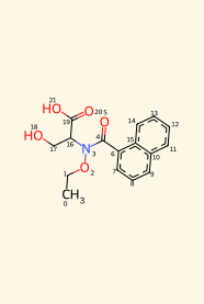 CCON(C(=O)c1cccc2ccccc12)C(CO)C(=O)O